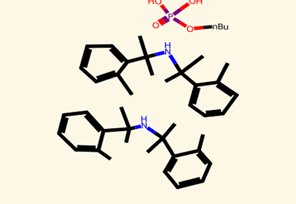 CCCCOP(=O)(O)O.Cc1ccccc1C(C)(C)NC(C)(C)c1ccccc1C.Cc1ccccc1C(C)(C)NC(C)(C)c1ccccc1C